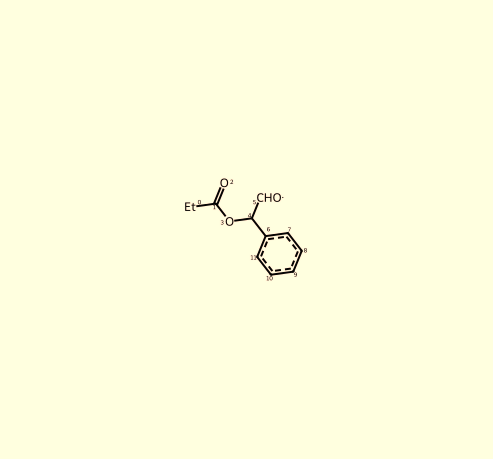 CCC(=O)OC([C]=O)c1ccccc1